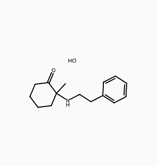 CC1(NCCc2ccccc2)CCCCC1=O.Cl